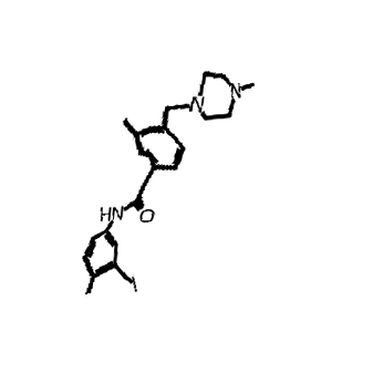 Cc1ccc(NC(=O)c2ccc(CN3CCN(C)CC3)c(C)c2)cc1I